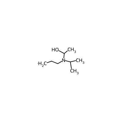 [CH2]CCN(C(C)C)C(C)O